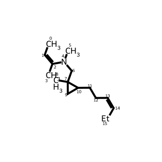 C/C=C(/C)N(C)CC1(C)CC1CC/C=C\CC